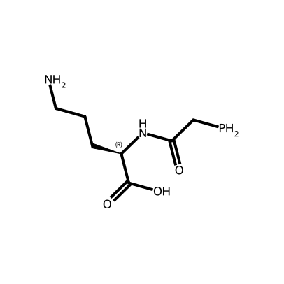 NCCC[C@@H](NC(=O)CP)C(=O)O